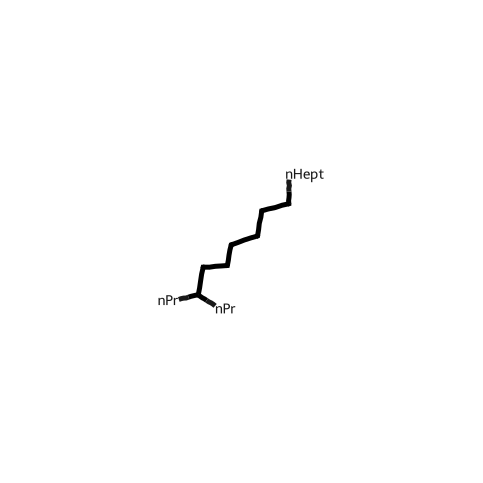 [CH2]CCC(CCC)CCCCCCCCCCCCC